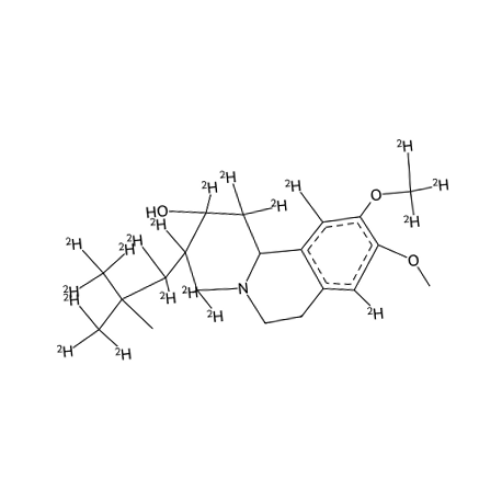 [2H]c1c2c(c([2H])c(OC([2H])([2H])[2H])c1OC)C1N(CC2)C([2H])([2H])C([2H])(C([2H])([2H])C(C)(C([2H])([2H])[2H])C([2H])([2H])[2H])C([2H])(O)C1([2H])[2H]